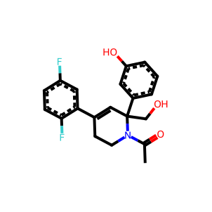 CC(=O)N1CCC(c2cc(F)ccc2F)=CC1(CO)c1cccc(O)c1